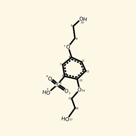 O=S(=O)(O)c1cc(OCCO)ccc1OCCO